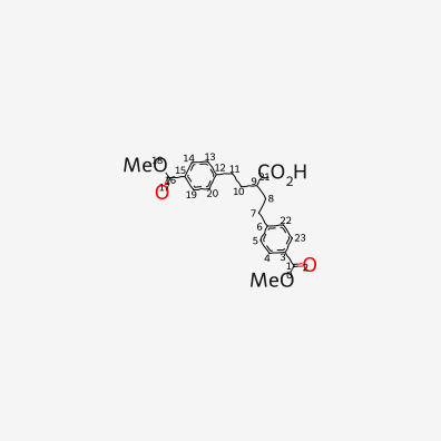 COC(=O)c1ccc(CCC(CCc2ccc(C(=O)OC)cc2)C(=O)O)cc1